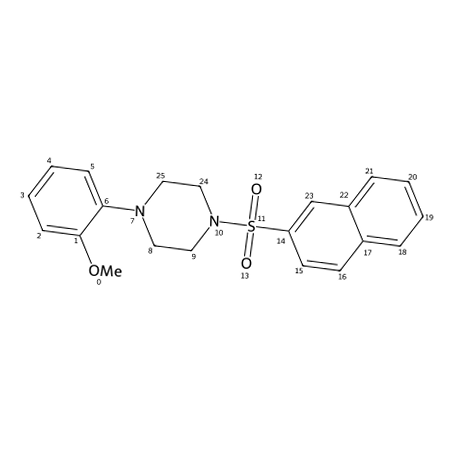 COc1ccccc1N1CCN(S(=O)(=O)c2ccc3ccccc3c2)CC1